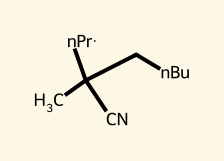 CC[CH]C(C)(C#N)CCCCC